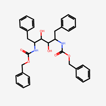 O=C(NC(Cc1ccccc1)C(O)C(O)C(Cc1ccccc1)NC(=O)OCc1ccccc1)OCc1ccccc1